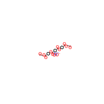 O=C(OCC1CO1)c1ccc(OC(=O)c2ccc(C(=O)Oc3ccc(C(=O)OCC4CO4)cc3)c([N+](=O)[O-])c2)cc1